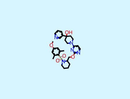 COc1cc(C)c(S(=O)(=O)N2CCCCC2COc2nccc(N3CCC(O)(c4cccnc4)CC3)n2)c(C)c1